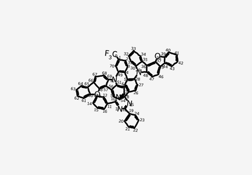 FC(F)(F)c1ccc(-c2cc(-c3nc(-c4ccccc4)nc(-c4ccccc4)n3)ccc2-n2c3ccccc3c3c4oc5ccccc5c4ccc32)c(-n2c3ccccc3c3c4oc5ccccc5c4ccc32)c1